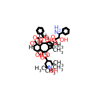 CCC1(C)C2C(C)[C@@H](OC(=O)[C@H](O)[C@@H](N)c3ccccc3)C[C@@]1(O)[C@@H](OC(=O)c1ccccc1)[C@@H]1[C@]3(OC(C)=O)CO[C@@H]3C[C@H](O)[C@@]1(C)C(=O)[C@@H]2OC(=O)C1CC(C)(C)N(O)C(C)(C)C1